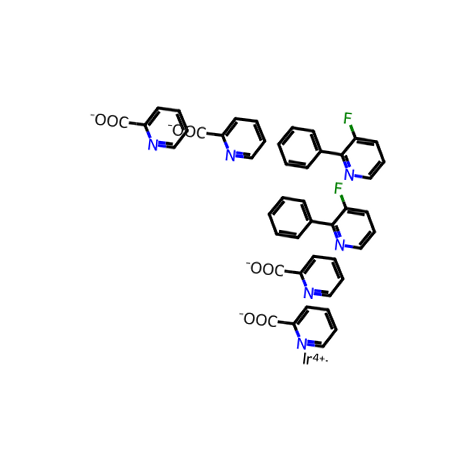 Fc1cccnc1-c1ccccc1.Fc1cccnc1-c1ccccc1.O=C([O-])c1ccccn1.O=C([O-])c1ccccn1.O=C([O-])c1ccccn1.O=C([O-])c1ccccn1.[Ir+4]